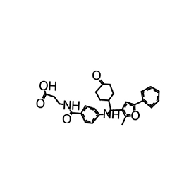 Cc1oc(-c2ccccc2)cc1C(Nc1ccc(C(=O)NCCC(=O)O)cc1)C1CCC(=O)CC1